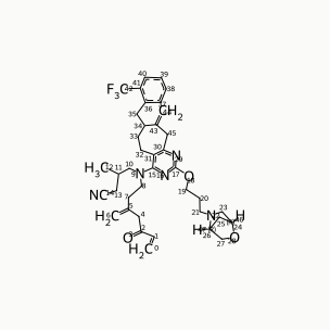 C=CC(=O)CC(=C)CCN(CC(C)CC#N)c1nc(OCCCN2C[C@H]3C[C@@H]2CO3)nc2c1CCC(Cc1ccccc1C(F)(F)F)C(=C)C2